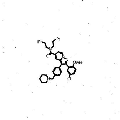 COc1ccc(Cl)cc1-c1nn2ccc(C(=O)N(CCC(C)C)CCC(C)C)cc2c1-c1ccc(CN2CCCCC2)cc1